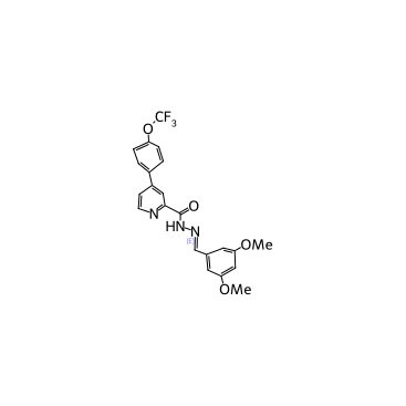 COc1cc(/C=N/NC(=O)c2cc(-c3ccc(OC(F)(F)F)cc3)ccn2)cc(OC)c1